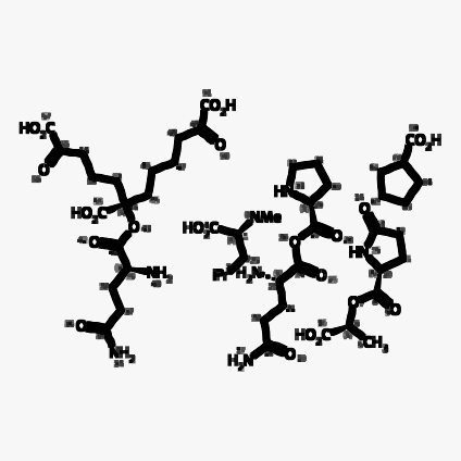 CN[C@@H](CC(C)C)C(=O)O.C[C@H](OC(=O)[C@@H]1CCC(=O)N1)C(=O)O.NC(=O)CC[C@H](N)C(=O)OC(=O)[C@@H]1CCCN1.NC(=O)CC[C@H](N)C(=O)O[C@@](CCCCC(=O)C(=O)O)(CCCC(=O)C(=O)O)C(=O)O.O=C(O)C1CCCC1